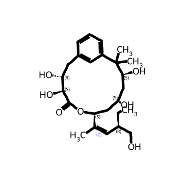 CC[C@H](/C=C(/C)[C@@H]1C[C@@H](O)C[C@H](O)C(C)(C)c2cccc(c2)C[C@@H](O)[C@H](O)C(=O)O1)CO